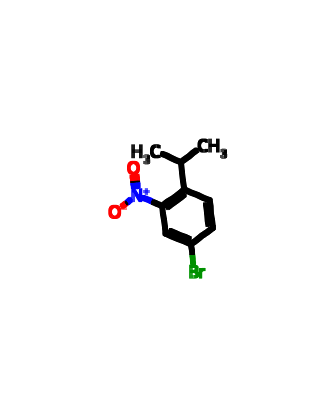 CC(C)c1ccc(Br)cc1[N+](=O)[O-]